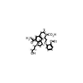 CCOc1ccccc1OCCN(C(=O)O)[C@H](C)Cc1cc2c(c(C(N)=O)c1)N(CCCO)CC2